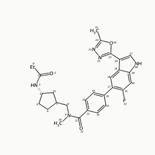 CCC(=O)N[C@H]1CCC(CN(C)C(=O)c2ccc(-c3cc4c(-c5nnc(C)o5)c[nH]c4cc3F)cc2)C1